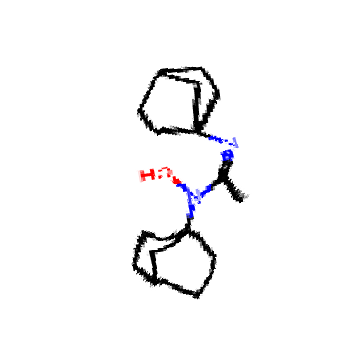 CC(=NC12CCC(CC1)C2)N(O)C12CCC(CC1)C2